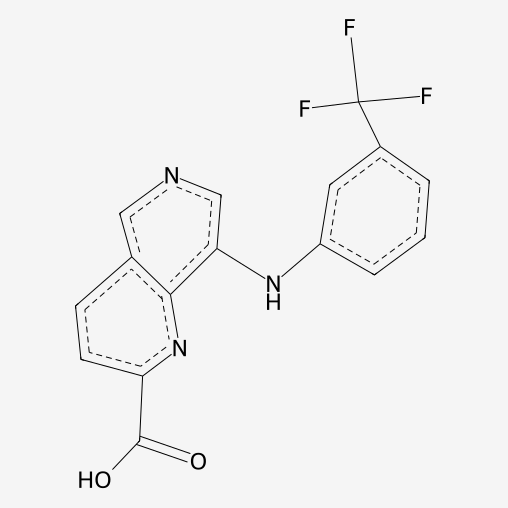 O=C(O)c1ccc2cncc(Nc3cccc(C(F)(F)F)c3)c2n1